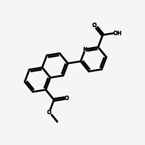 COC(=O)c1cccc2ccc(-c3cccc(C(=O)O)n3)cc12